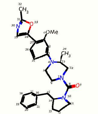 COc1cc(N2CCN(C(=O)N3CCCC3Cc3ccccc3)C[C@@H]2C)ccc1-c1cnc(C)o1